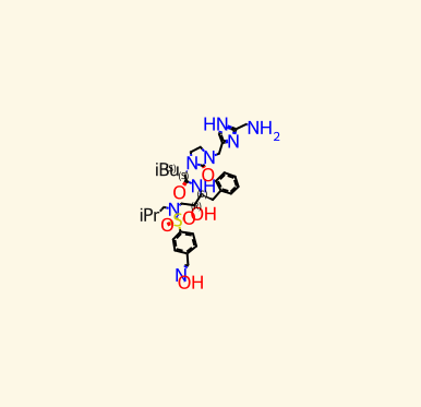 CC[C@H](C)[C@@H](C(=O)N[C@@H](Cc1ccccc1)[C@H](O)CN(CC(C)C)S(=O)(=O)c1ccc(C=NO)cc1)N1CCN(Cc2c[nH]c(CN)n2)C1=O